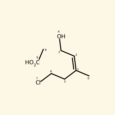 CC(=CCO)CCCl.CC(=O)O